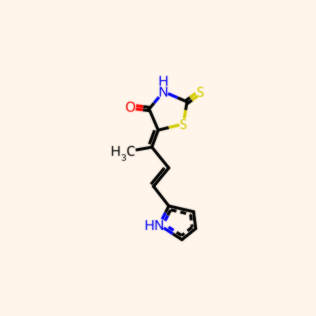 CC(/C=C/c1ccc[nH]1)=C1/SC(=S)NC1=O